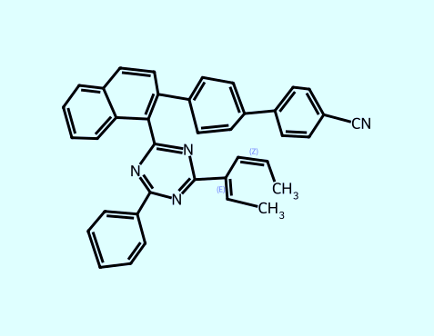 C/C=C\C(=C/C)c1nc(-c2ccccc2)nc(-c2c(-c3ccc(-c4ccc(C#N)cc4)cc3)ccc3ccccc23)n1